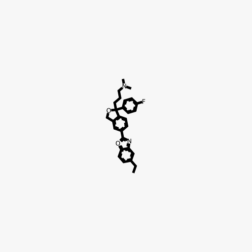 CCc1ccc2oc(-c3ccc4c(c3)COC4(CCCN(C)C)c3ccc(F)cc3)nc2c1